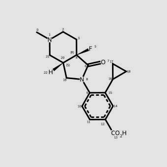 CN1CC[C@]2(F)C(=O)N(c3ccc(C(=O)O)cc3C3CC3)C[C@@H]2C1